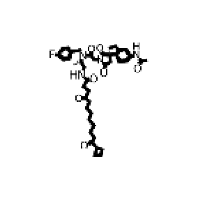 CC(=O)Nc1ccc2c(c1)CC[C@@]21CC(=O)N(CC(=O)N(Cc2ccc(F)cc2)[C@@H](C)CNC(=O)CCC(=O)CCCCCCCC(=O)C2CCC2)C1=O